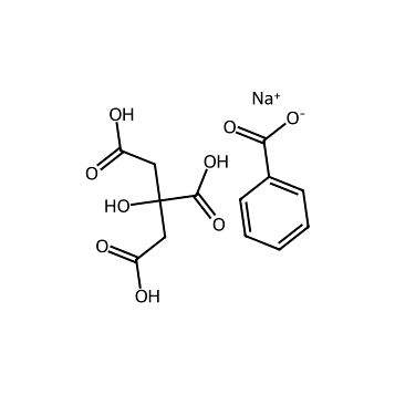 O=C(O)CC(O)(CC(=O)O)C(=O)O.O=C([O-])c1ccccc1.[Na+]